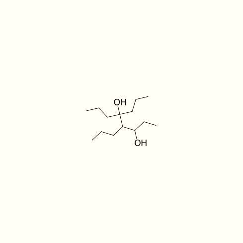 CCCC(C(O)CC)C(O)(CCC)CCC